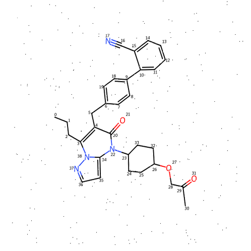 CCCc1c(Cc2ccc(-c3ccccc3C#N)cc2)c(=O)n(C2CCC(OCC(C)=O)CC2)c2ccnn12